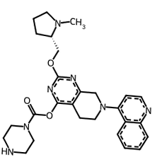 CN1CCC[C@H]1COc1nc2c(c(OC(=O)N3CCNCC3)n1)CCN(c1ccnc3ccccc13)C2